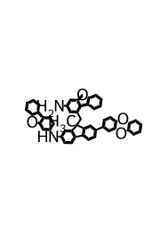 CC1(Cc2cc(N)cc3oc4ccccc4c23)c2cc(Nc3ccc4c(c3)oc3ccccc34)ccc2-c2ccc(-c3ccc4c(c3)Oc3ccccc3O4)cc21